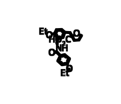 CCOc1ccc(C(=O)NCc2cc(C[C@@]3(C(=O)O)CCCO3)ccc2OCC)cc1